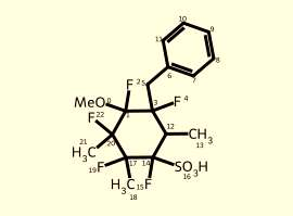 COC1(F)C(F)(Cc2ccccc2)C(C)C(F)(S(=O)(=O)O)C(C)(F)C1(C)F